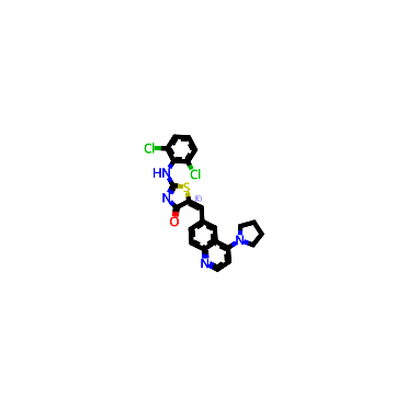 O=C1N=C(Nc2c(Cl)cccc2Cl)S/C1=C/c1ccc2nccc(N3CCCC3)c2c1